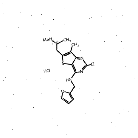 CN[C@@H](C)Cc1sc2c(NCc3ccco3)nc(Cl)nc2c1C.Cl